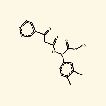 Cc1ccc(N(NC(=O)CC(=O)c2ccnnc2)C(=O)OC(C)(C)C)cc1C